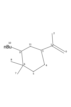 C=C(C)C1CCC(C)(C)C(CCCC)C1